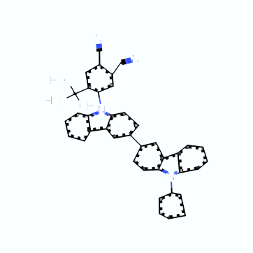 CC(C)(C)c1cc(C#N)c(C#N)cc1-n1c2ccccc2c2cc(-c3ccc4c(c3)c3ccccc3n4-c3ccccc3)ccc21